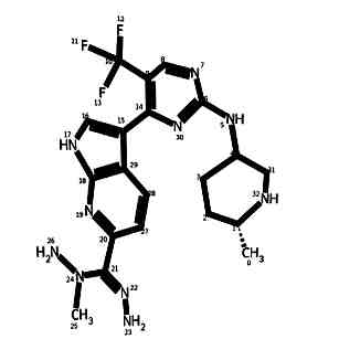 C[C@@H]1CCC(Nc2ncc(C(F)(F)F)c(-c3c[nH]c4nc(/C(=N/N)N(C)N)ccc34)n2)CN1